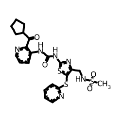 CS(=O)(=O)NCc1nc(NC(=O)Nc2cccnc2C(=O)C2CCCC2)sc1Sc1ccccn1